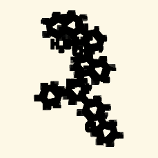 CC1(C)c2c(cccc2-c2ccc(-c3nc(-c4ccccc4)cc(-c4ccc5c(c4)oc4ccccc45)n3)c3ccccc23)-c2ccc3ccccc3c21